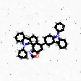 c1ccc(-n2c3ccccc3c3cc(-c4cc5ocnc5c5c4ccc4c6ccccc6n(-c6ccccc6)c45)ccc32)cc1